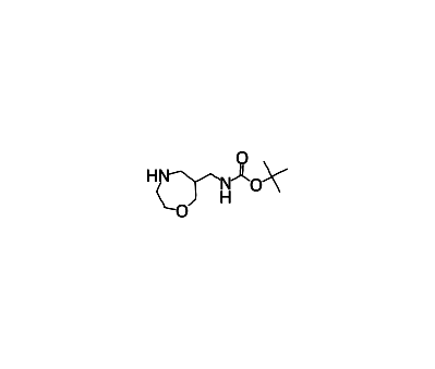 CC(C)(C)OC(=O)NCC1CNCCOC1